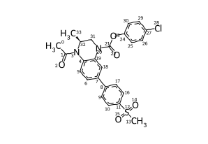 CC(=O)N1c2ccc(-c3ccc(S(C)(=O)=O)cc3)cc2N(C(=O)Oc2ccc(Cl)cc2)C[C@@H]1C